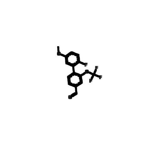 COc1ccc(F)c(-c2ccc(C=O)cc2OC(F)(F)F)c1